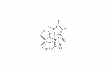 CC1=C(C)[C](C)([Zr]([CH]=O)([CH]=O)([CH]2C=CC=C2)([CH]2C=CC=C2)[SiH](C)C)C(C)=C1C